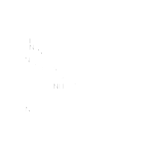 CCCCCCCCC(SCCCCCC)C(=O)Nc1c(Sc2nc[nH]n2)ccc2ncccc12